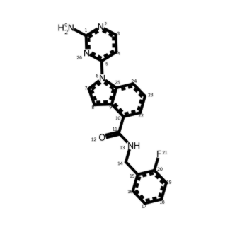 Nc1nccc(-n2ccc3c(C(=O)NCc4ccccc4F)cccc32)n1